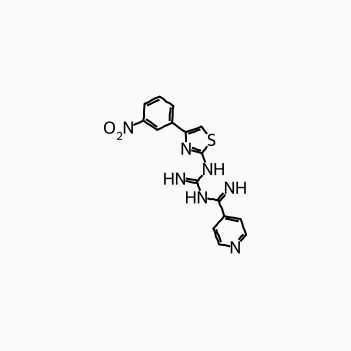 N=C(NC(=N)c1ccncc1)Nc1nc(-c2cccc([N+](=O)[O-])c2)cs1